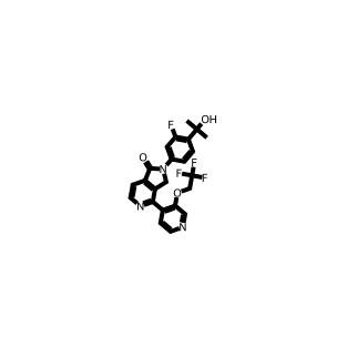 CC(C)(O)c1ccc(N2Cc3c(ccnc3-c3ccncc3OCC(F)(F)F)C2=O)cc1F